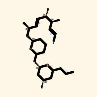 CCCC1C[C@H](C)C[C@H](CC2CCC[C@H](C[C@@H](C)/C=C/[C@H](C)[C@@H](C)/C=C/I)O2)O1